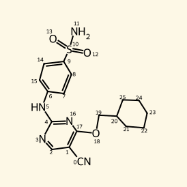 N#Cc1cnc(Nc2ccc(S(N)(=O)=O)cc2)nc1OCC1CCCCC1